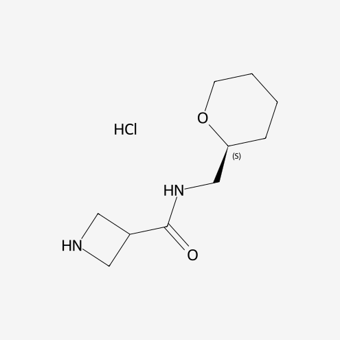 Cl.O=C(NC[C@@H]1CCCCO1)C1CNC1